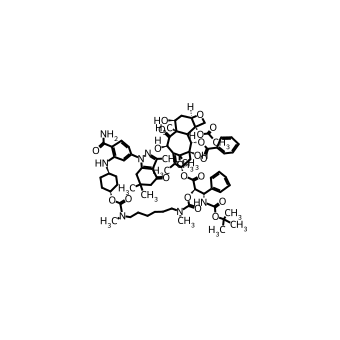 CC(=O)O[C@@]12CO[C@@H]1C[C@H](O)[C@@]1(C)C(=O)[C@H](O)C3=C(C)[C@@H](OC(=O)[C@H](OC(=O)N(C)CCCCCCN(C)C(=O)O[C@H]4CC[C@H](Nc5cc(-n6nc(C)c7c6CC(C)(C)CC7=O)ccc5C(N)=O)CC4)[C@@H](NC(=O)OC(C)(C)C)c4ccccc4)C[C@@](O)([C@@H](OC(=O)c4ccccc4)[C@H]21)C3(C)C